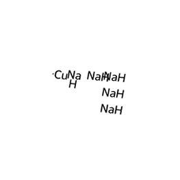 [Cu].[NaH].[NaH].[NaH].[NaH].[NaH]